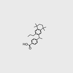 CCCc1cc2c(cc1C(C)c1ccc(C(=O)O)cc1)C(C)(C)CCC2(C)C